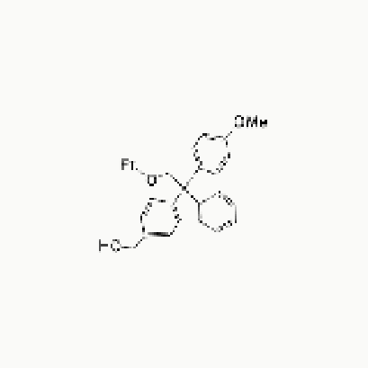 CCOCC(c1ccccc1)(c1ccc(CO)cc1)c1ccc(OC)cc1